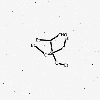 CCO[Si](OCC)(OCC)C(C=O)CC